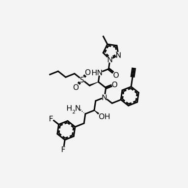 C#Cc1cccc(CN(C[C@@H](O)[C@@H](N)Cc2cc(F)cc(F)c2)C(=O)[C@@H](CS(=O)(=O)CCCC)NC(=O)n2cc(C)cn2)c1